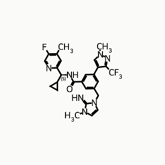 Cc1cc([C@@H](NC(=O)c2cc(Cn3ccn(C)c3=N)cc(-c3cn(C)nc3C(F)(F)F)c2)C2CC2)ncc1F